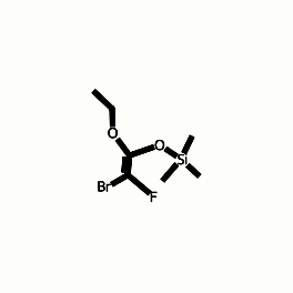 CCOC(O[Si](C)(C)C)=C(F)Br